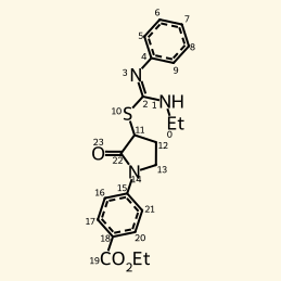 CCN/C(=N\c1ccccc1)SC1CCN(c2ccc(C(=O)OCC)cc2)C1=O